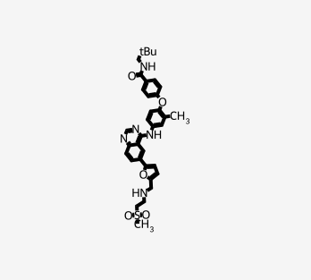 Cc1cc(Nc2ncnc3ccc(-c4ccc(CNCCS(C)(=O)=O)o4)cc23)ccc1Oc1ccc(C(=O)NCC(C)(C)C)cc1